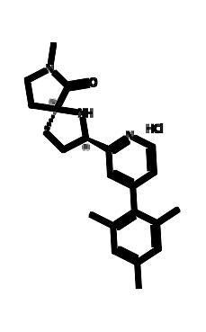 Cc1cc(C)c(-c2ccnc([C@H]3CC[C@@]4(CCN(C)C4=O)N3)c2)c(C)c1.Cl